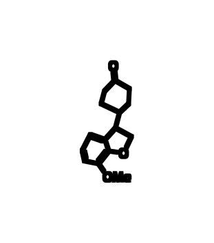 COc1cccc2c1OCC2C1CCC(=O)CC1